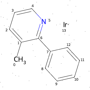 Cc1cccnc1-c1ccccc1.[Ir]